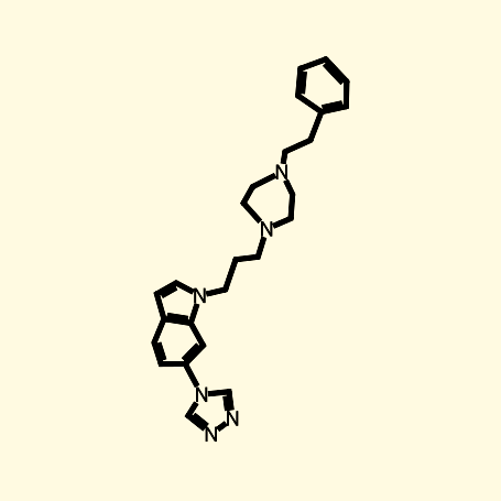 c1ccc(CCN2CCN(CCCn3ccc4ccc(-n5cnnc5)cc43)CC2)cc1